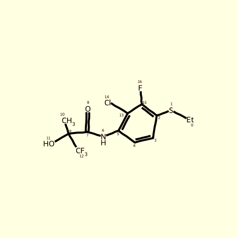 CCSc1ccc(NC(=O)C(C)(O)C(F)(F)F)c(Cl)c1F